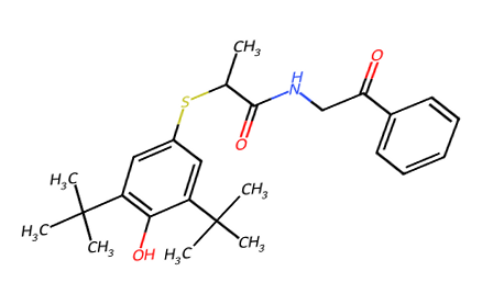 CC(Sc1cc(C(C)(C)C)c(O)c(C(C)(C)C)c1)C(=O)NCC(=O)c1ccccc1